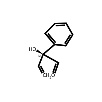 C=C[C@@](O)(C=O)c1ccccc1